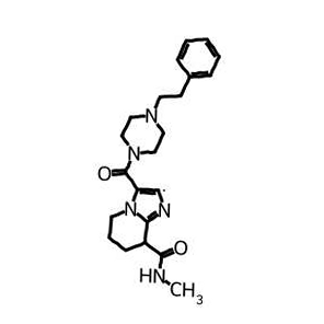 CNC(=O)C1CCCn2c(C(=O)N3CCN(CCc4ccccc4)CC3)[c]nc21